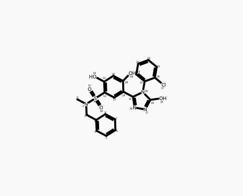 CN(Cc1ccccc1)S(=O)(=O)c1cc(-c2nnc(O)n2-c2ccccc2Cl)c(O)cc1O